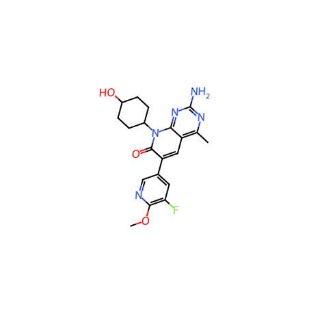 COc1ncc(-c2cc3c(C)nc(N)nc3n(C3CCC(O)CC3)c2=O)cc1F